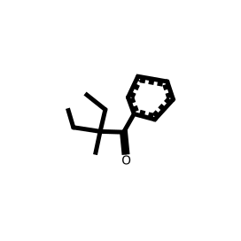 CCC(C)(CC)C(=O)c1ccccc1